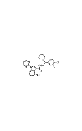 Cc1cc(C(CNC(=O)c2cn(-c3ncccn3)c3cccc(Cl)c23)N2CCCCC2)ccc1Cl